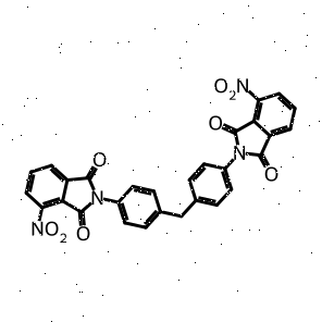 O=C1c2cccc([N+](=O)[O-])c2C(=O)N1c1ccc(Cc2ccc(N3C(=O)c4cccc([N+](=O)[O-])c4C3=O)cc2)cc1